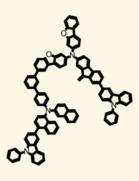 C=C1c2cc(-c3ccc4c(c3)c3ccccc3n4-c3ccccc3)ccc2-c2ccc(N(c3ccc4c(c3)oc3ccccc34)c3ccc4c(c3)oc3ccc(-c5cccc(-c6ccc(N(c7ccc8ccccc8c7)c7ccc(-c8ccc9c(c8)c8ccccc8n9-c8ccccc8)c8ccccc78)cc6)c5)cc34)cc21